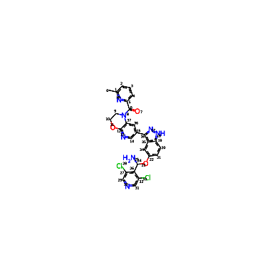 Cc1cccc(C(=O)N2CCOc3ncc(-c4n[nH]c5ccc(O[C@H](N)c6c(Cl)cncc6Cl)cc45)cc32)n1